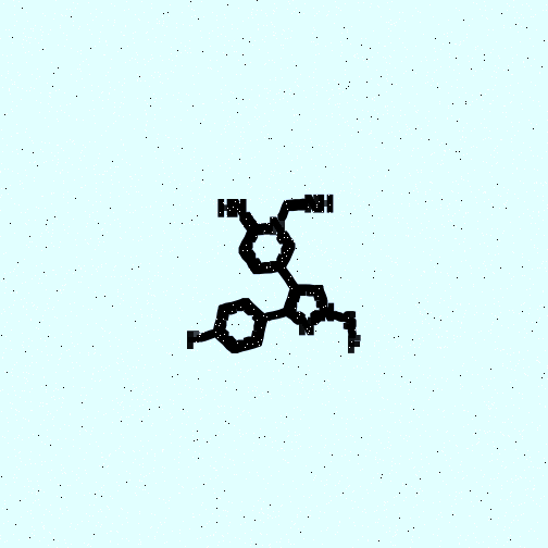 N=Cn1cc(-c2cn(SF)nc2-c2ccc(F)cc2)ccc1=N